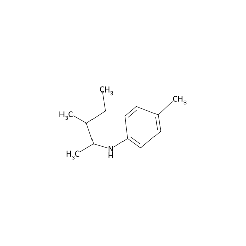 CCC(C)C(C)Nc1ccc(C)cc1